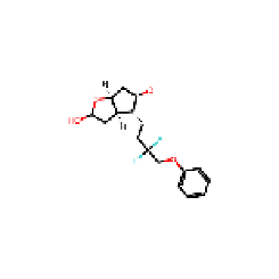 OC1C[C@@H]2[C@@H](CCC(F)(F)COc3ccccc3)[C@H](O)C[C@@H]2O1